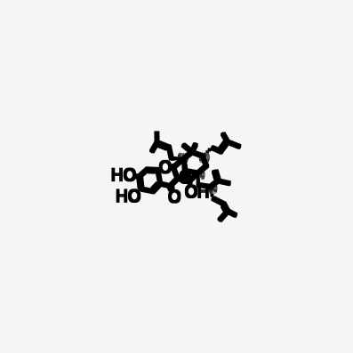 C=C(C)[C@H](CC=C(C)C)C[C@@]12C[C@@H](CC=C(C)C)C(C)(C)[C@@](CC=C(C)C)(C(=O)C(C(=O)c3ccc(O)c(O)c3)=C1O)C2=O